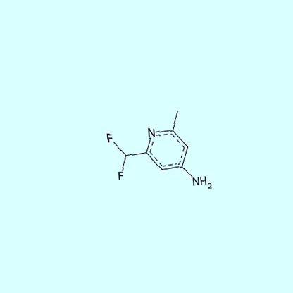 Cc1cc(N)cc(C(F)F)n1